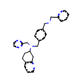 c1ccc(CNCc2ccc(CN(Cc3ncc[nH]3)C3CCc4cccnc4C3)cc2)nc1